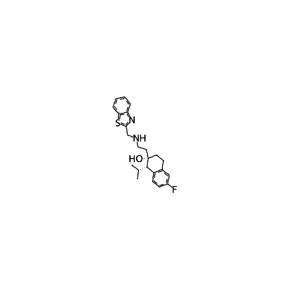 CC(C)[C@H]1c2ccc(F)cc2CC[C@]1(O)CCNCc1nc2ccccc2s1